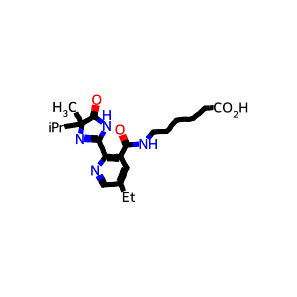 CCc1cnc(C2=NC(C)(C(C)C)C(=O)N2)c(C(=O)NCCCCCC(=O)O)c1